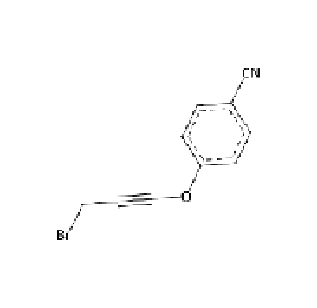 N#Cc1ccc(OC#CCBr)cc1